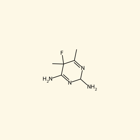 CC1=NC(N)N=C(N)C1(C)F